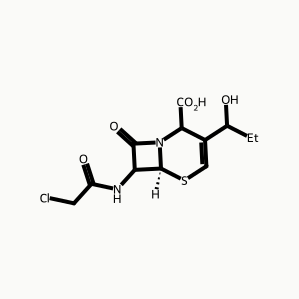 CCC(O)C1=CS[C@H]2C(NC(=O)CCl)C(=O)N2C1C(=O)O